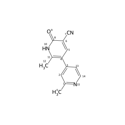 Cc1cc(-c2cc(C#N)c(=O)[nH]c2C)ccn1